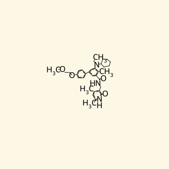 CCN(c1cc(-c2ccc(OCCOC)cc2)cc(C(=O)NCc2c(C)cc(C)[nH]c2=O)c1C)C1CCCCC1